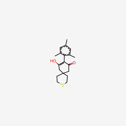 Cc1cc(C)c(C2=C(O)CC3(CCSCC3)CC2=O)c(C)c1